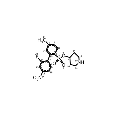 Cc1ccc(S(=O)(=O)OC2CCNCC2)c(-c2ccc([N+](=O)[O-])cc2F)c1